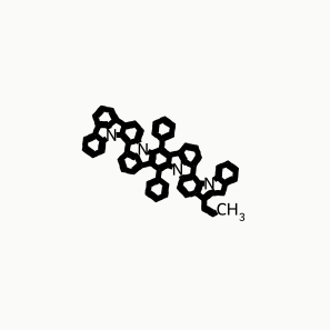 C/C=C\c1c2n(c3c1ccc1c3c3cccc4c5c(-c6ccccc6)c6c(c(-c7ccccc7)c5n1c43)c1cccc3c4c(ccc5c7cccc8c9ccccc9n(c87)c54)n6c13)-c1ccccc1C2